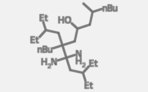 CCCCC(C)CC(O)CC(CCCC)(CC(CC)CC)C(N)(N)CC(CC)CC